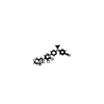 N#Cc1ccc(N(C2CC2)[C@H]2CC[C@@H](n3ncc(NCC4COCCS4(=O)=O)c(Cl)c3=O)CC2)cc1